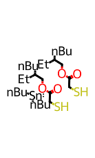 CCCCC(CC)COC(=O)CS.CCCCC(CC)COC(=O)CS.CCC[CH2][Sn][CH2]CCC